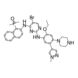 CCOc1cc(N2CCNCC2)c(-c2cnn(C)c2)cc1Nc1ncc(Br)c(Nc2ccc3ccccc3c2P(C)(C)=O)n1